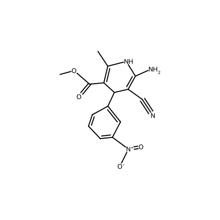 COC(=O)C1=C(C)NC(N)=C(C#N)C1c1cccc([N+](=O)[O-])c1